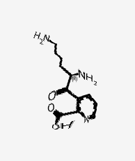 NCCCC[C@@H](N)C(=O)c1cccnc1C(=O)O